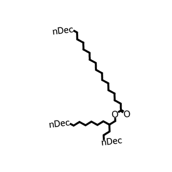 CCCCCCCCCCCCCCCCCCCCCCCCCC(=O)OCC(CCCCCCCCCCCC)CCCCCCCCCCCCCCCC